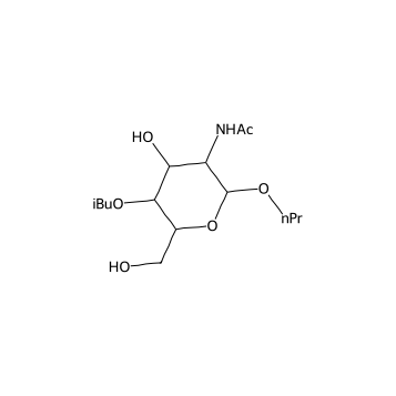 CCCOC1OC(CO)C(OCC(C)C)C(O)C1NC(C)=O